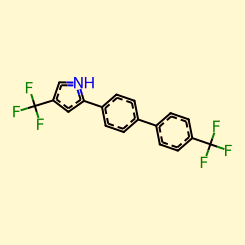 FC(F)(F)c1ccc(-c2ccc(-c3cc(C(F)(F)F)c[nH]3)cc2)cc1